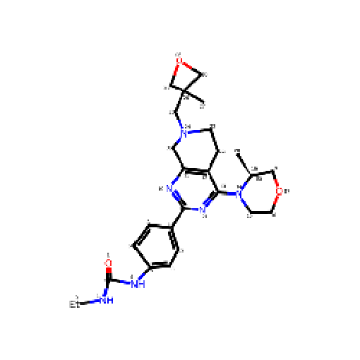 CCNC(=O)Nc1ccc(-c2nc3c(c(N4CCOC[C@@H]4C)n2)CCN(CC2(C)COC2)C3)cc1